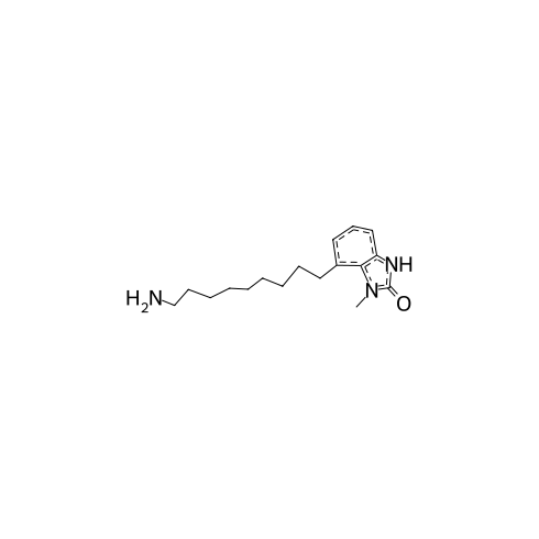 Cn1c(=O)[nH]c2cccc(CCCCCCCCCN)c21